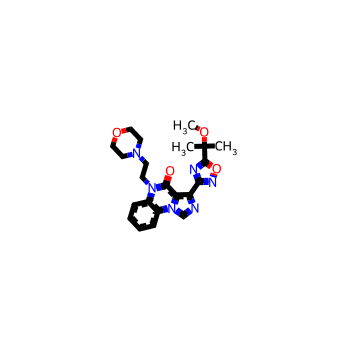 COC(C)(C)c1nc(-c2ncn3c2c(=O)n(CCN2CCOCC2)c2ccccc23)no1